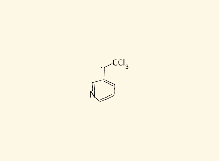 ClC(Cl)(Cl)[CH]c1cccnc1